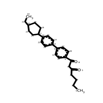 CCCCC(=O)CC(=O)c1ccc(-c2ccc(C3CCC(CC)CC3)cc2)cc1